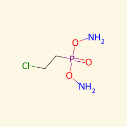 NOP(=O)(CCCl)ON